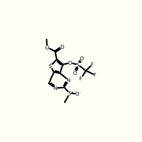 COC(=O)c1sc2cnc([S+](C)[O-])nc2c1OS(=O)(=O)C(F)(F)F